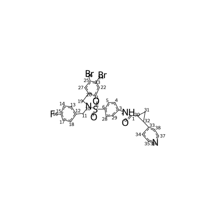 O=C(Nc1ccc(S(=O)(=O)N(Cc2ccc(F)cc2)Cc2ccc(Br)c(Br)c2)cc1)C1CC1c1ccncc1